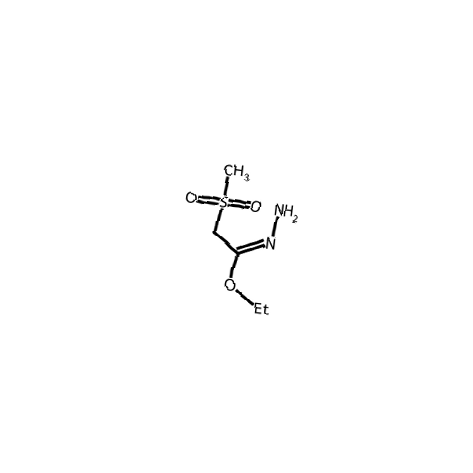 CCOC(CS(C)(=O)=O)=NN